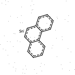 [Sn].c1ccc2c(c1)ccc1ccccc12